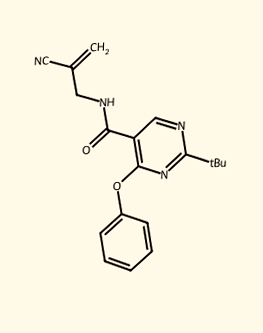 C=C(C#N)CNC(=O)c1cnc(C(C)(C)C)nc1Oc1ccccc1